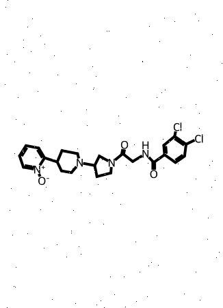 O=C(NCC(=O)N1CCC(N2CCC(c3cccc[n+]3[O-])CC2)C1)c1ccc(Cl)c(Cl)c1